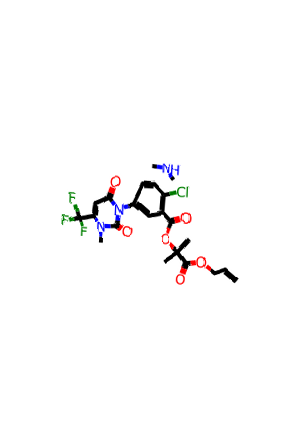 C=CCOC(=O)C(C)(C)OC(=O)c1cc(-n2c(=O)cc(C(F)(F)F)n(C)c2=O)ccc1Cl.CNC